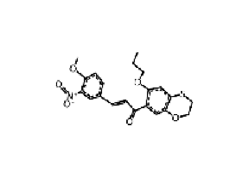 CCCOc1cc2c(cc1C(=O)C=Cc1ccc(OC)c([N+](=O)[O-])c1)OCCS2